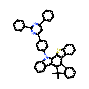 CC1(C)c2ccccc2-c2c1c1c3ccccc3n(-c3ccc(-c4cc(-c5ccccc5)nc(-c5ccccc5)n4)cc3)c1c1sc3ccccc3c21